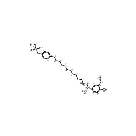 NS(=O)(=O)Cc1ccc(CCCCOCCCCCCNC[C@H](O)c2ccc(O)c(CO)c2)cc1